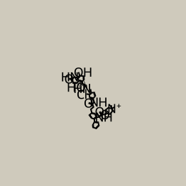 C[N+]1(C)CCC(OC(=O)Nc2cc(CCC(=O)Nc3ccc(CNC[C@H](O)c4ccc(O)c5[nH]c(=O)ccc45)c(Cl)c3)ccc2-c2ccccc2)CC1